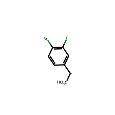 O=C(O)[CH]c1ccc(Br)c(F)c1